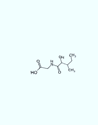 CCC(C)C(O)C(=O)NCC(=O)O